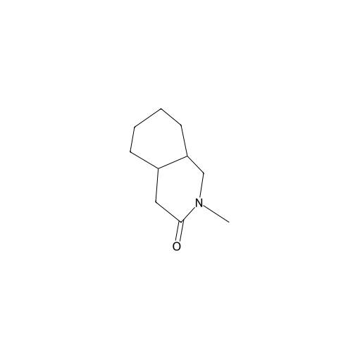 CN1CC2CCCCC2CC1=O